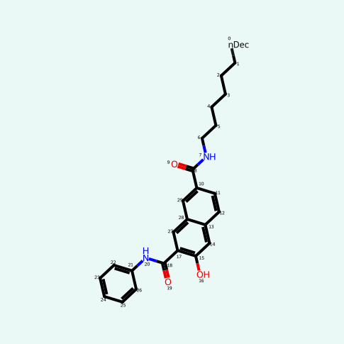 CCCCCCCCCCCCCCCCNC(=O)c1ccc2cc(O)c(C(=O)Nc3ccccc3)cc2c1